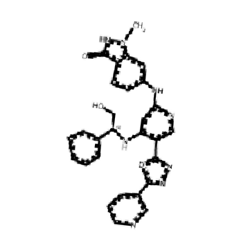 Cn1[nH]c(=O)c2ccc(Nc3cc(N[C@H](CO)c4ccccc4)c(-c4nnc(-c5cccnc5)o4)cn3)cc21